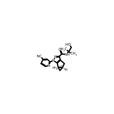 CC(C)(CO)NC(=O)c1nn(-c2cc(C#N)ccn2)c2c1C[C@H]1C[C@@H]21